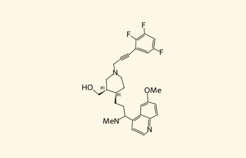 CNC(CC[C@@H]1CCN(CC#Cc2cc(F)cc(F)c2F)C[C@@H]1CO)c1ccnc2ccc(OC)cc12